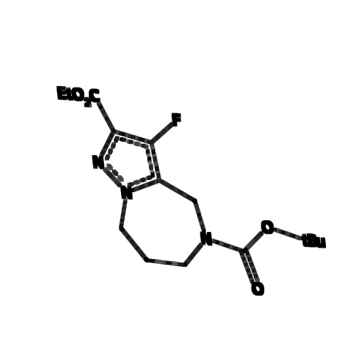 CCOC(=O)c1nn2c(c1F)CN(C(=O)OC(C)(C)C)CCC2